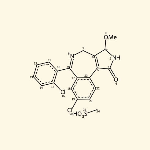 COC1NC(=O)C2=C1CN=C(c1ccccc1Cl)c1cc(Cl)ccc12.CS(=O)(=O)O